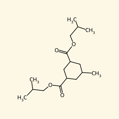 CC(C)COC(=O)C1CC(C)CC(C(=O)OCC(C)C)C1